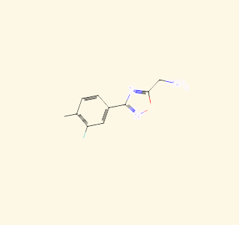 NCc1nc(-c2ccc(C(F)(F)F)c(F)c2)no1